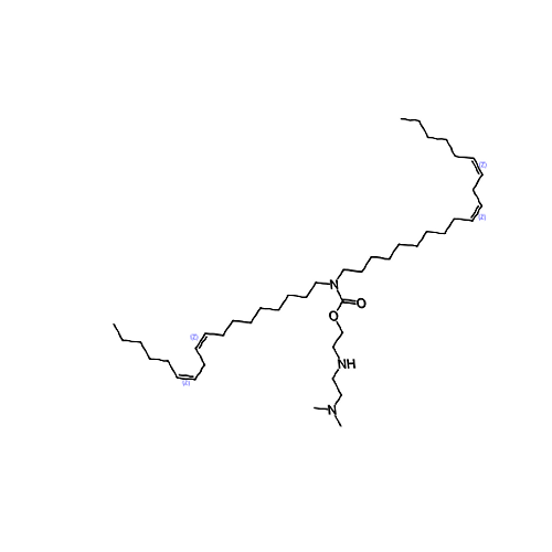 CCCCC/C=C\C/C=C\CCCCCCCCCN(CCCCCCCC/C=C\C/C=C\CCCCC)C(=O)OCCNCCN(C)C